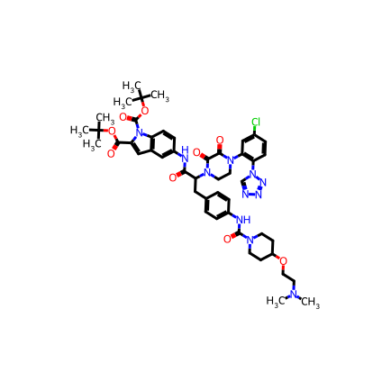 CN(C)CCOC1CCN(C(=O)Nc2ccc(CC(C(=O)Nc3ccc4c(c3)cc(C(=O)OC(C)(C)C)n4C(=O)OC(C)(C)C)N3CCN(c4cc(Cl)ccc4-n4cnnn4)C(=O)C3=O)cc2)CC1